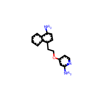 Nc1cc(OCCc2ccc(N)c3ccccc23)ccn1